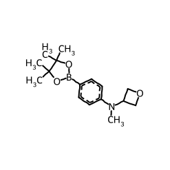 CN(c1ccc(B2OC(C)(C)C(C)(C)O2)cc1)C1COC1